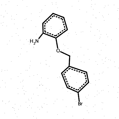 Nc1ccccc1OCc1ccc(Br)cc1